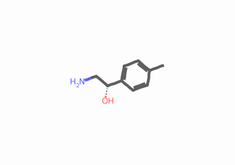 Cc1ccc([C@H](O)CN)cc1